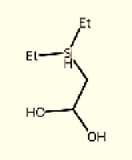 CC[SiH](CC)CC(O)O